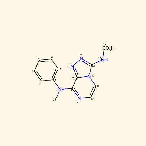 CN(c1ccccc1)c1nccn2c(NC(=O)O)nnc12